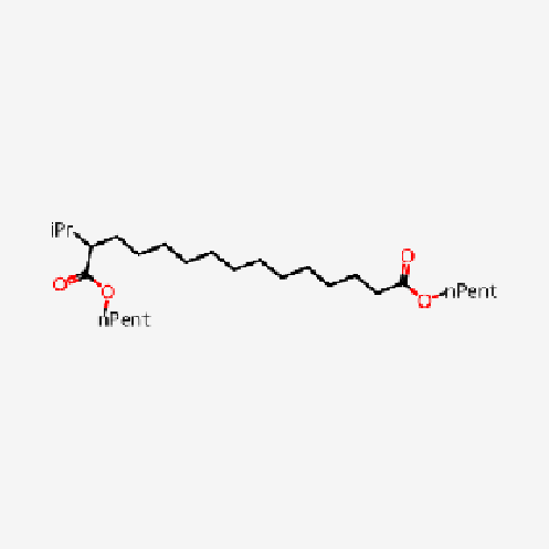 CCCCCOC(=O)CCCCCCCCCCCCC(C(=O)OCCCCC)C(C)C